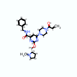 C=CC(=O)N1CCN(c2cc(C(=O)NCc3ccccc3)nc(OC[C@@H]3CCCN3C)n2)CC1